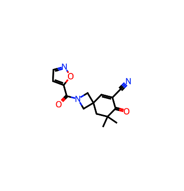 CC1(C)CC2(C=C(C#N)C1=O)CN(C(=O)c1ccno1)C2